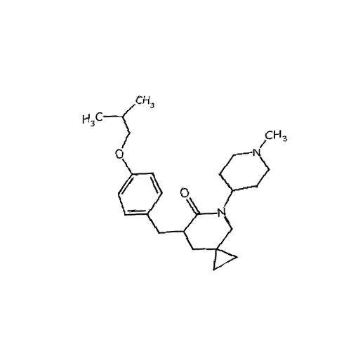 CC(C)COc1ccc(CC2CC3(CC3)CN(C3CCN(C)CC3)C2=O)cc1